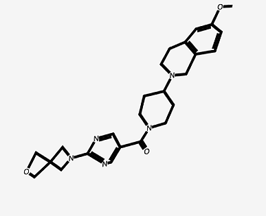 COc1ccc2c(c1)CCN(C1CCN(C(=O)c3cnc(N4CC5(COC5)C4)nc3)CC1)C2